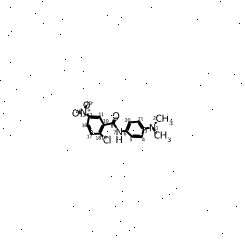 CN(C)c1ccc(NC(=O)c2cc([N+](=O)[O-])ccc2Cl)cc1